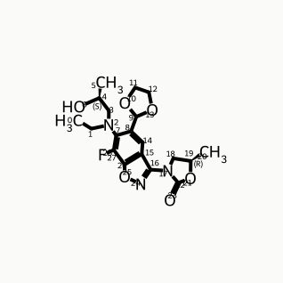 CCN(C[C@H](C)O)c1c(C2OCCO2)cc2c(N3C[C@@H](C)OC3=O)noc2c1F